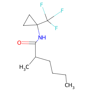 CCCCC(C)C(=O)NC1(C(F)(F)F)CC1